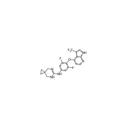 Fc1cc(NC2=NCC3(CC3)CN2)cc(F)c1Oc1ccnc2[nH]cc(C(F)(F)F)c12